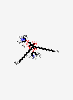 CCCCCCCCCCCCCC(CCCCCCCCCCCCC)(C(=O)OC1CC(C)(C)NC(C)(C)C1)C(C(=O)O)C(CC(=O)OC1CC(C)(C)NC(C)(C)C1)C(=O)O